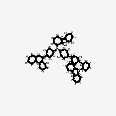 c1ccc(-n2c3ccccc3c3ccccc32)c(-c2ccc(-c3ccc(N(c4ccc(-c5cc6ccccc6c6ccccc56)cc4)c4cccc5c4oc4ccccc45)cc3)cc2)c1